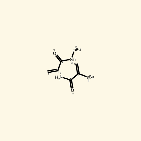 C=C(CCCC)C(N)=O.C=CC(=O)NCCCC